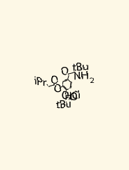 CC(C)CC(=O)Oc1cc(C(=O)C(N)C(C)(C)C)ccc1OC(=O)C(C)(C)C.Cl